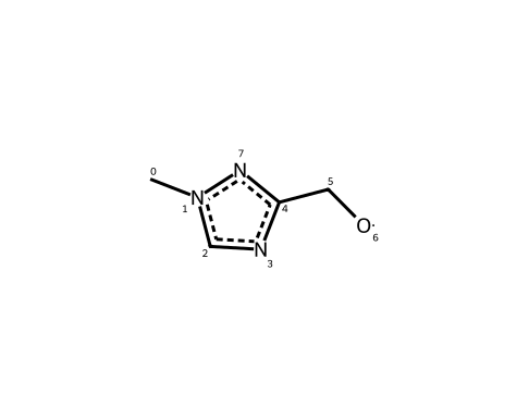 Cn1cnc(C[O])n1